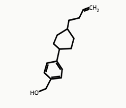 C=CCCC1CCC(c2ccc(CO)cc2)CC1